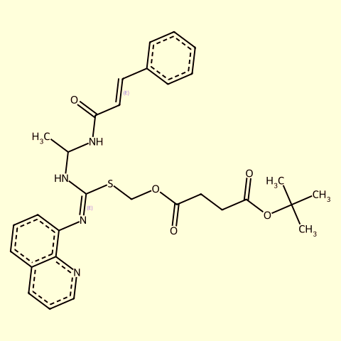 CC(NC(=O)/C=C/c1ccccc1)N/C(=N\c1cccc2cccnc12)SCOC(=O)CCC(=O)OC(C)(C)C